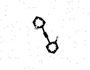 Fc1ccccc1C#Cc1ccc[c]n1